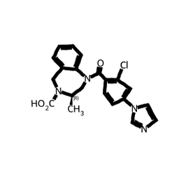 C[C@@H]1CN(C(=O)c2ccc(-n3ccnc3)cc2Cl)c2ccccc2CN1C(=O)O